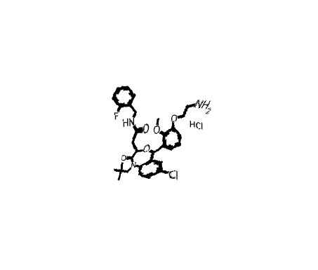 COc1c(OCCN)cccc1C1OC(CC(=O)NCc2ccccc2F)C(=O)N(CC(C)(C)C)c2ccc(Cl)cc21.Cl